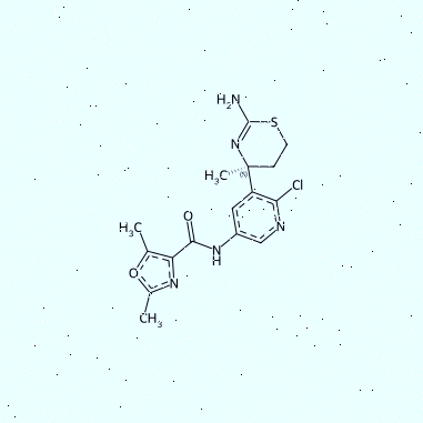 Cc1nc(C(=O)Nc2cnc(Cl)c([C@]3(C)CCSC(N)=N3)c2)c(C)o1